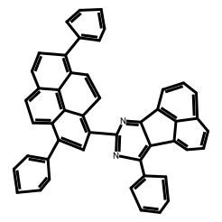 c1ccc(-c2nc(-c3cc(-c4ccccc4)c4ccc5ccc(-c6ccccc6)c6ccc3c4c56)nc3c2-c2cccc4cccc-3c24)cc1